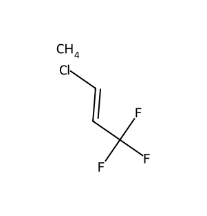 C.FC(F)(F)C=CCl